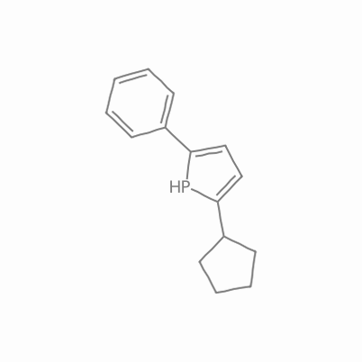 c1ccc(-c2ccc(C3CCCC3)[pH]2)cc1